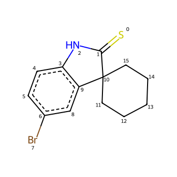 S=C1Nc2ccc(Br)cc2C12CCCCC2